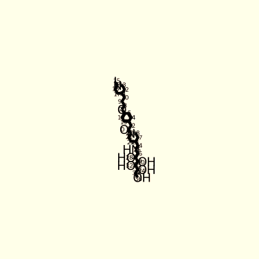 O=C(Cc1ccc(OCCCC2CCN(I)CC2)cc1)N1CCC(CNC[C@H](O)[C@@H](O)[C@H](O)[C@H](O)CO)CC1